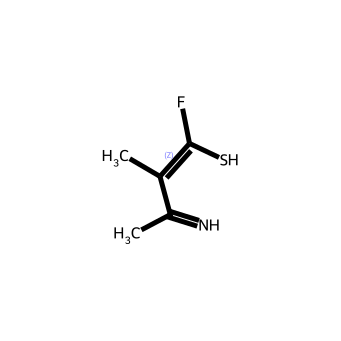 CC(=N)/C(C)=C(/F)S